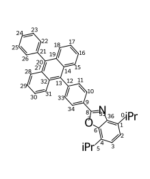 CC(C)c1ccc(C(C)C)c2oc(-c3ccc(-c4c5ccccc5c(-c5ccccc5)c5ccccc45)cc3)nc12